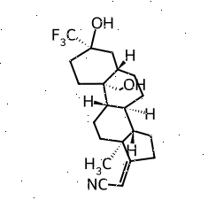 C[C@]12CC[C@H]3[C@@H](CC[C@H]4C[C@@](O)(C(F)(F)F)CC[C@@]43CO)[C@@H]1CC/C2=C/C#N